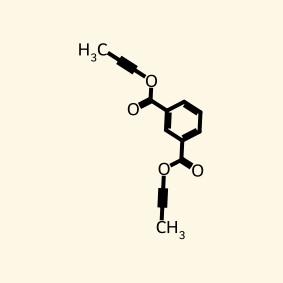 CC#COC(=O)c1cccc(C(=O)OC#CC)c1